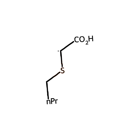 CCCCS[CH]C(=O)O